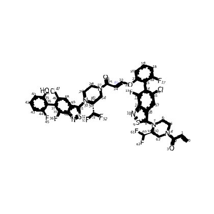 C=CC(=O)N1CCN(c2snc3c(F)c(-c4c(F)cccc4O/C=C/C(=O)N4CCN(c5snc6c(F)c(-c7c(O)cccc7F)c(Cl)cc56)[C@@H](C(F)F)C4)c(Cl)cc23)[C@H](C(F)F)C1